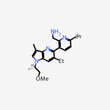 CCc1cc2c(nc1-c1ccc(C(C)C)nc1CN)c(C)cn2[C@@H](C)COC